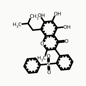 Cc1oc2c(CC(C)C)c(O)c(O)c(O)c2c(=O)c1-c1ccccc1S(=O)(=O)c1ccccc1